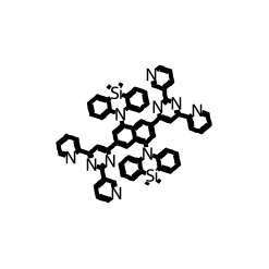 C[Si]1(C)c2ccccc2N(c2cc(-c3cc(-c4ccccn4)nc(-c4cccnc4)n3)cc3c(N4c5ccccc5[Si](C)(C)c5ccccc54)cc(-c4cc(-c5ccccn5)nc(-c5cccnc5)n4)cc23)c2ccccc21